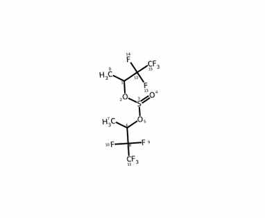 CC(OS(=O)OC(C)C(F)(F)C(F)(F)F)C(F)(F)C(F)(F)F